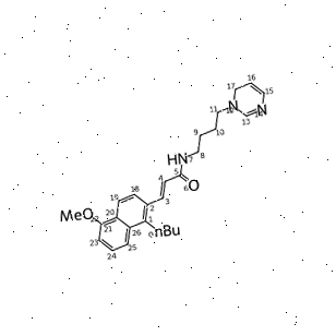 CCCCc1c(/C=C/C(=O)NCCCCN2C=NC=CC2)ccc2c(OC)cccc12